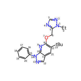 CCn1ncnc1COc1nc2c(cnn2-c2ccccc2)cc1C(C)(C)C